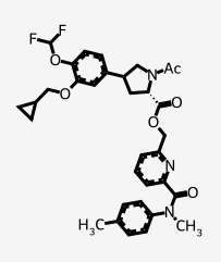 CC(=O)N1CC(c2ccc(OC(F)F)c(OCC3CC3)c2)C[C@H]1C(=O)OCc1cccc(C(=O)N(C)c2ccc(C)cc2)n1